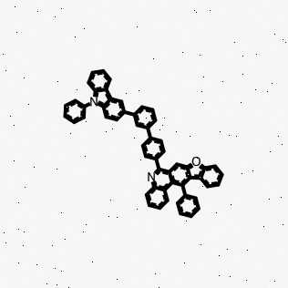 c1ccc(-c2c3c(cc4c(-c5ccc(-c6cccc(-c7ccc8c(c7)c7ccccc7n8-c7ccccc7)c6)cc5)nc5ccccc5c24)oc2ccccc23)cc1